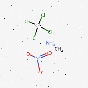 C.O=[N+]([O-])[O-].[Cl][Ce]([Cl])([Cl])[Cl].[NH4+]